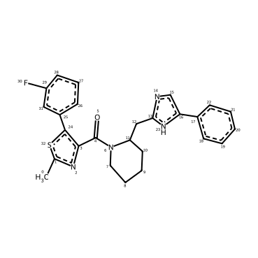 Cc1nc(C(=O)N2CCCCC2Cc2ncc(-c3ccccc3)[nH]2)c(-c2cccc(F)c2)s1